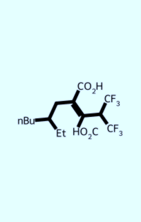 CCCCC(CC)CC(C(=O)O)=C(C(=O)O)C(C(F)(F)F)C(F)(F)F